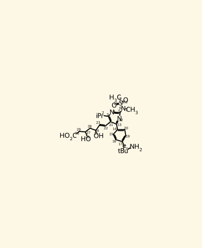 CC(C)(C)N.CC(C)c1nc(N(C)S(C)(=O)=O)nc(-c2ccc(F)cc2)c1/C=C/C(O)CC(O)CC(=O)O